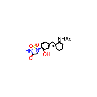 CC(=O)N[C@@H]1CCCC[C@H]1Cc1ccc(N2CC(=O)NS2(=O)=O)c(O)c1